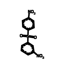 O=[N+]([O-])c1ccc(S(=O)(=O)c2cccc([N+](=O)[O-])c2)cc1